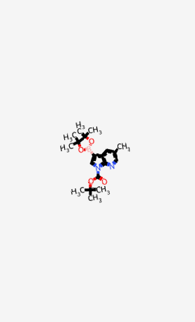 Cc1cnc2c(c1)c(B1OC(C)(C)C(C)(C)O1)cn2C(=O)OC(C)(C)C